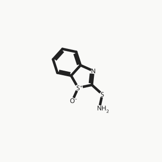 NSc1nc2ccccc2[s+]1[O-]